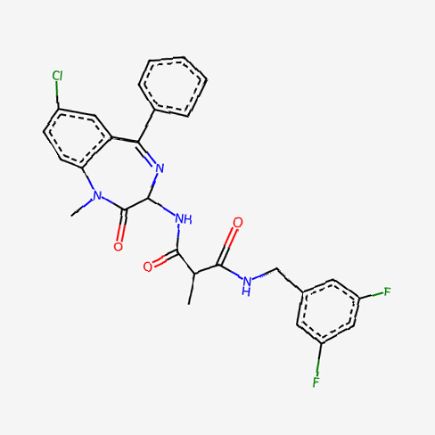 CC(C(=O)NCc1cc(F)cc(F)c1)C(=O)NC1N=C(c2ccccc2)c2cc(Cl)ccc2N(C)C1=O